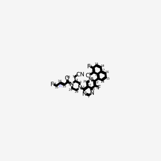 N#CC[C@H]1CN(c2ncnc3c(F)c(-c4cccc5ccc(F)c(Cl)c45)ncc23)CCN1C(=O)/C=C/CF